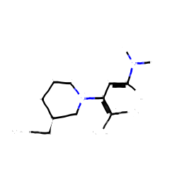 COC[C@H]1CCCN(C(C=C(C)N(C)C)=C(C#N)C#N)C1